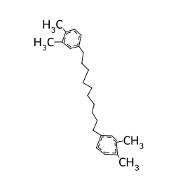 Cc1ccc(CCCCCCCCCCc2ccc(C)c(C)c2)cc1C